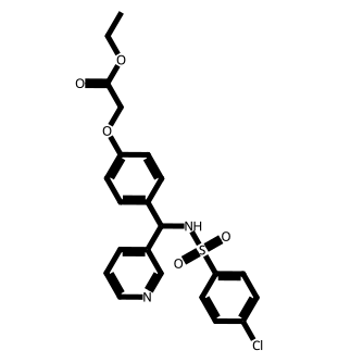 CCOC(=O)COc1ccc(C(NS(=O)(=O)c2ccc(Cl)cc2)c2cccnc2)cc1